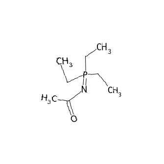 CCP(CC)(CC)=NC(C)=O